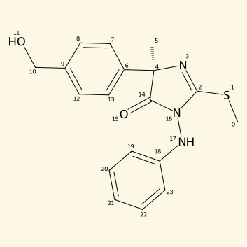 CSC1=N[C@](C)(c2ccc(CO)cc2)C(=O)N1Nc1ccccc1